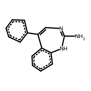 NC1=NC=C(c2ccccc2)c2ccccc2N1